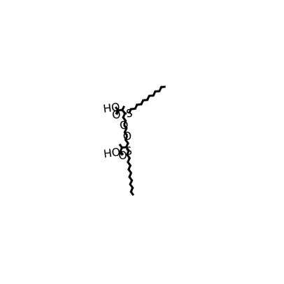 CCCCCCCCCCCCSC(CCOCCOCCC(SCCCCCCCCCCCC)C(C)C(=O)O)C(C)C(=O)O